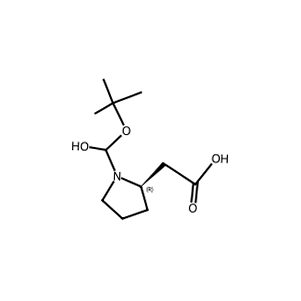 CC(C)(C)OC(O)N1CCC[C@@H]1CC(=O)O